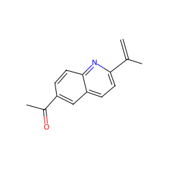 C=C(C)c1ccc2cc(C(C)=O)ccc2n1